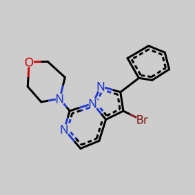 Brc1c(-c2ccccc2)nn2c(N3CCOCC3)nccc12